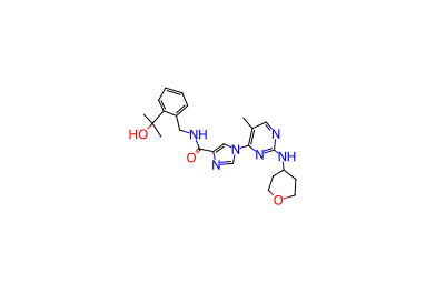 Cc1cnc(NC2CCOCC2)nc1-n1cnc(C(=O)NCc2ccccc2C(C)(C)O)c1